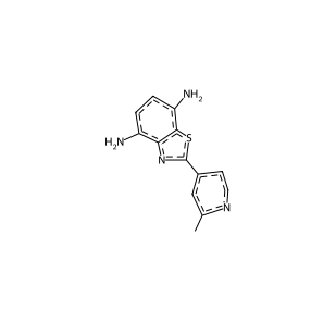 Cc1cc(-c2nc3c(N)ccc(N)c3s2)ccn1